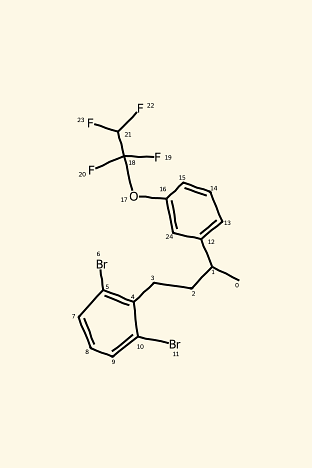 CC(CCc1c(Br)cccc1Br)c1cccc(OC(F)(F)C(F)F)c1